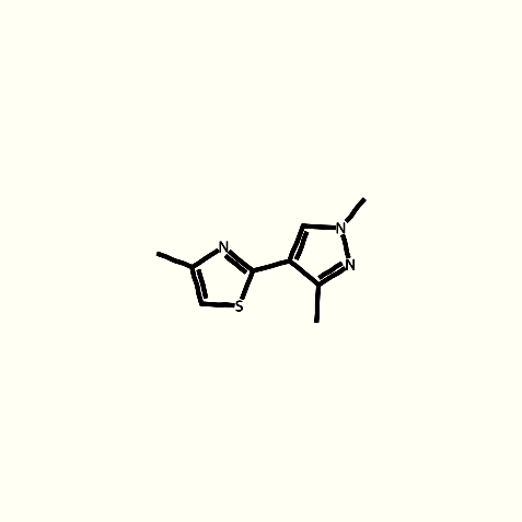 Cc1csc(-c2cn(C)nc2C)n1